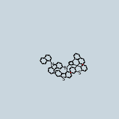 c1ccc2c(c1)Sc1ccccc1C21c2cc(N(c3ccc4c(c3)c3ccccc3n4-c3cccc4ccccc34)c3cccc4sc5ccccc5c34)ccc2-c2cccc3cccc1c23